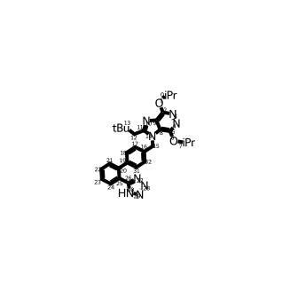 CC(C)Oc1nnc(OC(C)C)c2c1nc(CC(C)(C)C)n2Cc1ccc(-c2ccccc2-c2nnn[nH]2)cc1